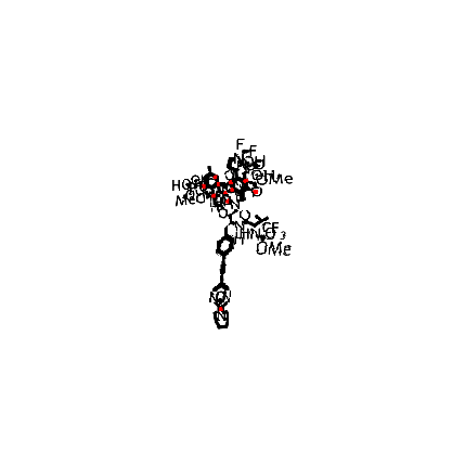 COC(=O)N[C@H](C(=O)N[C@@H](Cc1ccc(C#Cc2cnc(N3CC4CCC(C3)N4C3COC3)nc2)cc1)[C@H](CN(Cc1c(F)cc(-c2ccn(C(F)F)n2)cc1F)NC(=O)[C@@H](NC(=O)OC)C(C)(C)C(F)(F)F)OC(=O)CC(C)(C)c1c(CC(=O)NC(CP(=O)(O)O)C(=O)OC)cc(C)cc1OP(=O)(O)O)C(C)(C)C(F)(F)F